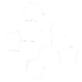 C[Si]1(C)C(c2ncccn2)=C(c2ccccc2)C(c2ccccc2)=C1c1ncccn1